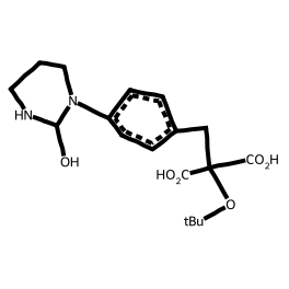 CC(C)(C)OC(Cc1ccc(N2CCCNC2O)cc1)(C(=O)O)C(=O)O